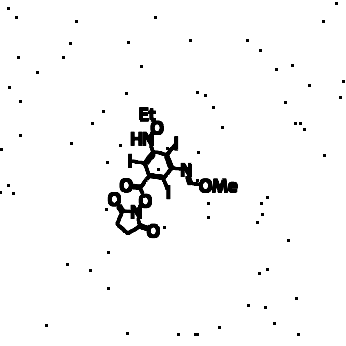 CCONc1c(I)c(N=COC)c(I)c(C(=O)ON2C(=O)CCC2=O)c1I